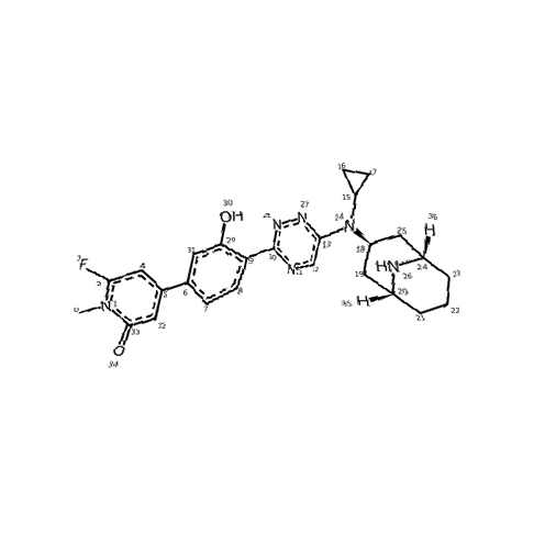 Cn1c(F)cc(-c2ccc(-c3ncc(N(C4CC4)[C@@H]4C[C@H]5CCC[C@@H](C4)N5)nn3)c(O)c2)cc1=O